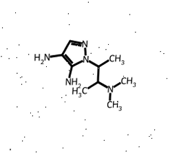 CC(C(C)n1ncc(N)c1N)N(C)C